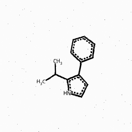 CC(C)c1[nH]ccc1-c1ccccc1